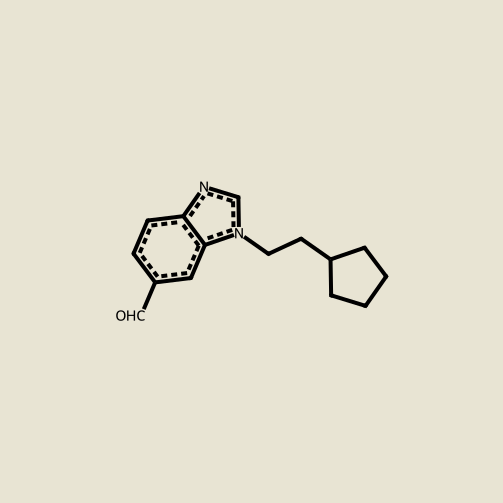 O=Cc1ccc2ncn(CCC3CCCC3)c2c1